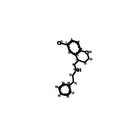 Clc1ccc2c(c1)C(CNCCc1ccccc1)CCO2